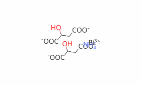 O=C([O-])CC(O)C(=O)[O-].O=C([O-])CC(O)C(=O)[O-].[Bi+3].[NH4+]